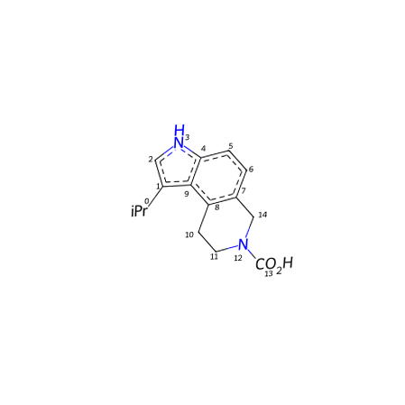 CC(C)c1c[nH]c2ccc3c(c12)CCN(C(=O)O)C3